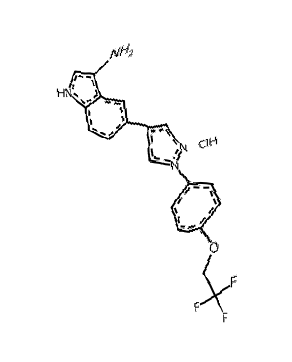 Cl.Nc1c[nH]c2ccc(-c3cnn(-c4ccc(OCC(F)(F)F)cc4)c3)cc12